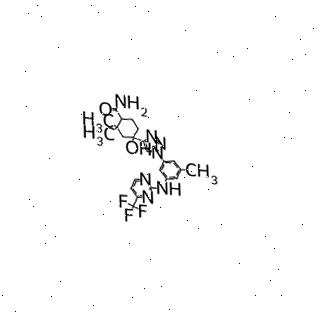 Cc1cc(Nc2nccc(C(F)(F)F)n2)cc(-n2cc([C@@]3(O)CCC(C(N)=O)C(C)(C)C3)nn2)c1